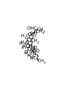 C=C(/C=C\C(C#N)=C/C)n1c(=O)c(Cl)c(C2(CC)CC(=O)C(C(C)C)=C2C2CCC3C4(C)CCC(OC(=O)CC(C)(C)C=O)C(C)(C)C4CCC3(C)C2(C)C)n1C